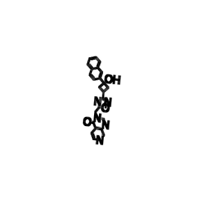 O=c1c2ccncc2ncn1Cc1nc(C2CC(O)(c3ccc4ccccc4c3)C2)no1